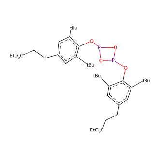 CCOC(=O)CCc1cc(C(C)(C)C)c(OP2OP(Oc3c(C(C)(C)C)cc(CCC(=O)OCC)cc3C(C)(C)C)O2)c(C(C)(C)C)c1